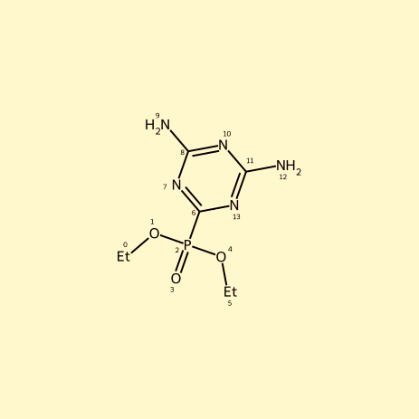 CCOP(=O)(OCC)c1nc(N)nc(N)n1